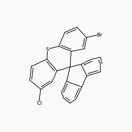 Clc1ccc2c(c1)C1(c3cc(Br)ccc3S2)c2ccccc2-c2ccccc21